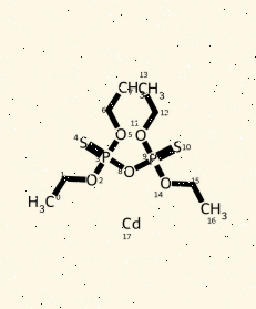 CCOP(=S)(OCC)OP(=S)(OCC)OCC.[Cd]